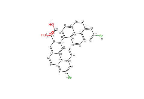 O=C(O)c1cc2ccc3cc(Br)cc4ccc(c1-c1c(C(=O)O)cc5ccc6cc(Br)cc7ccc1c5c67)c2c34